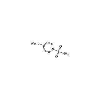 CCCC(C)c1ccc(S(N)(=O)=O)cc1